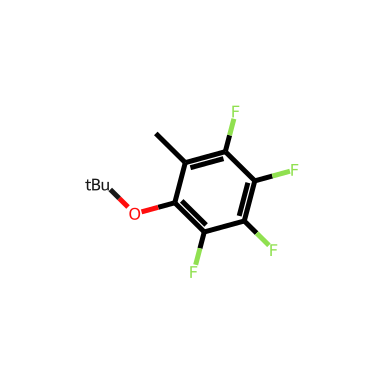 Cc1c(F)c(F)c(F)c(F)c1OC(C)(C)C